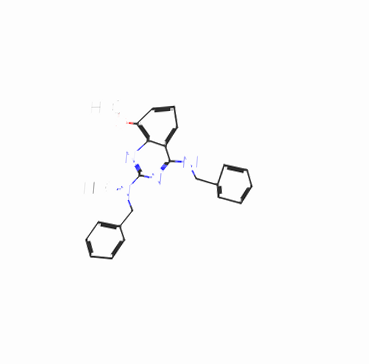 COc1cccc2c(NCc3ccccc3)nc(N(C)Cc3ccccc3)nc12